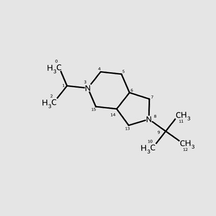 CC(C)N1CCC2CN(C(C)(C)C)CC2C1